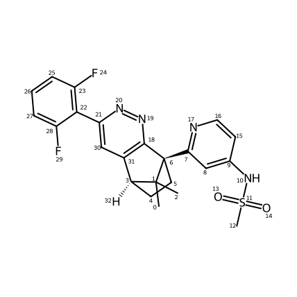 CC1(C)[C@H]2CC[C@@]1(c1cc(NS(C)(=O)=O)ccn1)c1nnc(-c3c(F)cccc3F)cc12